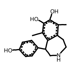 Cc1c(O)c(O)c(C)c2c1CCNCC2c1ccc(O)cc1